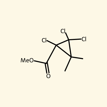 COC(=O)C1(Cl)C(C)(C)C1(Cl)Cl